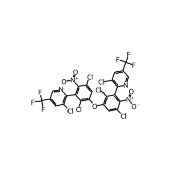 O=[N+]([O-])c1c(Cl)cc(Oc2cc(Cl)c([N+](=O)[O-])c(-c3ncc(C(F)(F)F)cc3Cl)c2Cl)c(Cl)c1-c1ncc(C(F)(F)F)cc1Cl